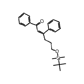 CC(C)(C)[Si](C)(C)OCCCC(=CC(=O)c1ccccc1)c1ccccc1